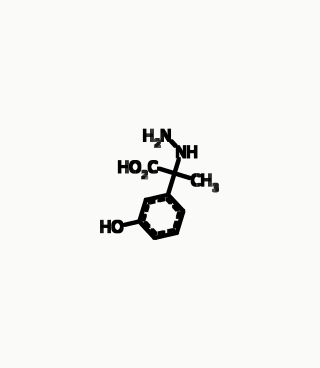 CC(NN)(C(=O)O)c1cccc(O)c1